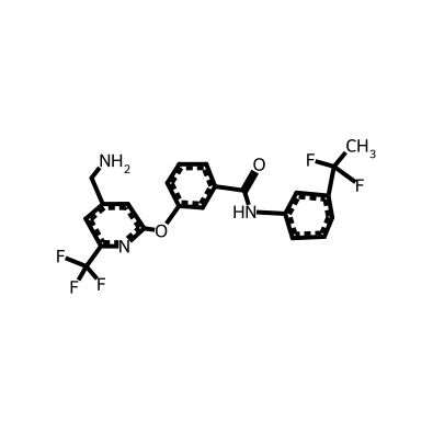 CC(F)(F)c1cccc(NC(=O)c2cccc(Oc3cc(CN)cc(C(F)(F)F)n3)c2)c1